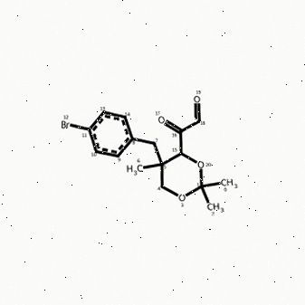 CC1(C)OCC(C)(Cc2ccc(Br)cc2)C(C(=O)C=O)O1